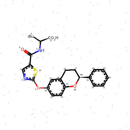 CCC(C)C(NC(=O)c1cnc(Oc2ccc3c(c2)CC[C@@H](c2ccccc2)O3)s1)C(=O)O